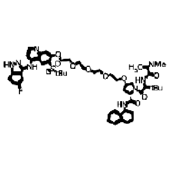 CN[C@@H](C)C(=O)NC(C(=O)N1C[C@@H](OCCOCCOCCOCCOc2cc3nccc(Nc4n[nH]c5ccc(F)cc45)c3cc2S(=O)(=O)C(C)(C)C)C[C@H]1C(=O)N[C@H]1CCCc2ccccc21)C(C)(C)C